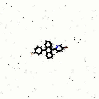 BrC1=CC=C(c2c3ccccc3c(-c3ccc(Br)cn3)c3ccccc23)CC=C1